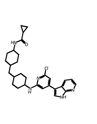 O=C(NC1CCC(CC2CCC(Nc3cc(-c4c[nH]c5ncccc45)cc(Cl)n3)CC2)CC1)C1CC1